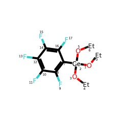 CC[O][Ge]([O]CC)([O]CC)[c]1c(F)c(F)c(F)c(F)c1F